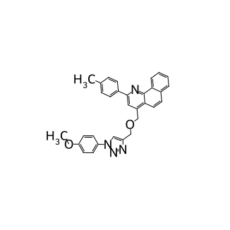 COc1ccc(-n2cc(COCc3cc(-c4ccc(C)cc4)nc4c3ccc3ccccc34)nn2)cc1